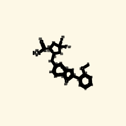 COc1ccccc1-c1cc2cc(CN3CC(F)(F)C[C@H]3C(N)=O)ccc2o1